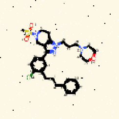 CS(=O)(=O)N1CCc2c(c(-c3ccc(Cl)c(CCCc4ccccc4)c3)nn2CCCN2CCOCC2)C1